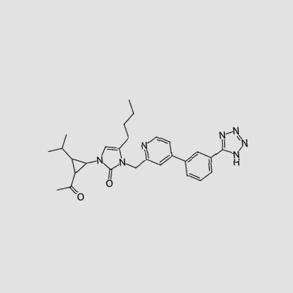 CCCCc1cn(C2C(C(C)=O)C2C(C)C)c(=O)n1Cc1cc(-c2cccc(-c3nnn[nH]3)c2)ccn1